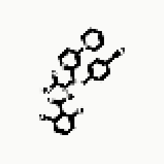 N#Cc1ccc(C[C@@H](c2cc(N3CC=CCC3)ccn2)[C@H](NC(=O)c2c(Cl)cccc2Cl)C(=O)O)cc1